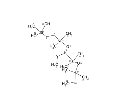 CCC(O[Si](C)(C)CC[Si](C)(O)O)[Si](C)(C)OC(C)(C)CC